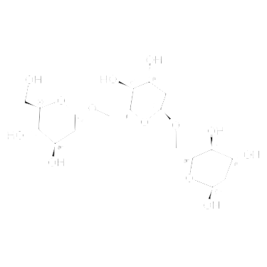 OC[C@H]1O[C@H](OC[C@H]2O[C@H](OC[C@H]3O[C@H](O)C[C@@H](O)[C@@H]3O)C[C@@H](O)[C@@H]2O)C[C@@H](O)[C@@H]1O